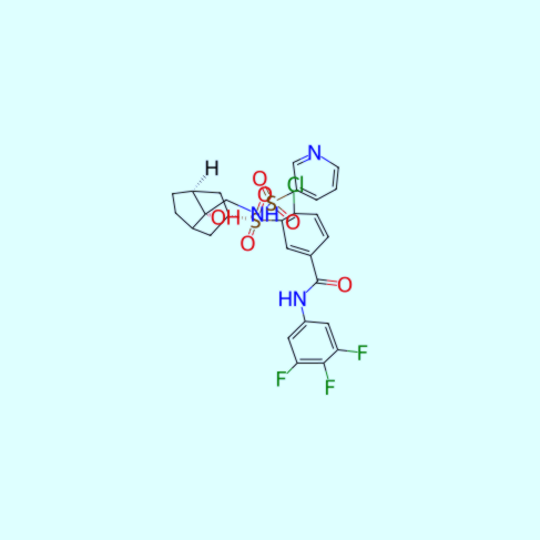 O=C(Nc1cc(F)c(F)c(F)c1)c1ccc(Cl)c(S(=O)(=O)[C@@H]2CC3CC[C@@H](C2)[C@@]3(O)CNS(=O)(=O)c2cccnc2)c1